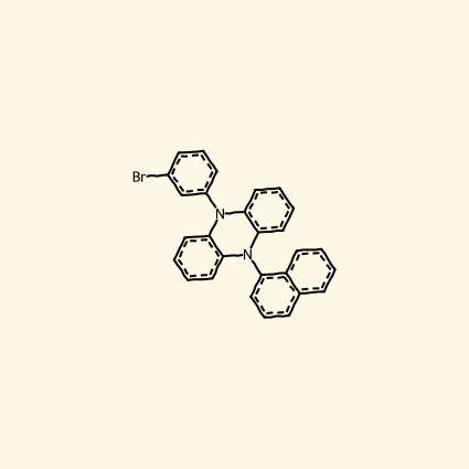 Brc1cccc(N2c3ccccc3N(c3cccc4ccccc34)c3ccccc32)c1